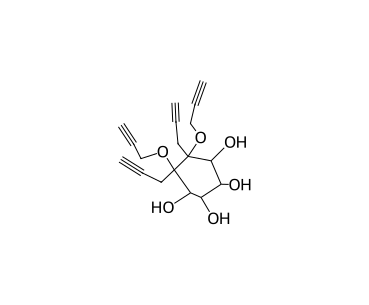 C#CCOC1(CC#C)C(O)C(O)C(O)C(O)C1(CC#C)OCC#C